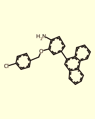 Nc1ccc(-c2cc3ccccc3c3ccccc23)cc1OCc1ccc(Cl)cc1